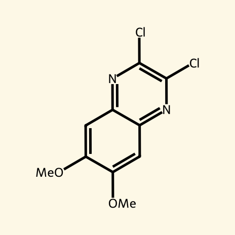 COc1cc2nc(Cl)c(Cl)nc2cc1OC